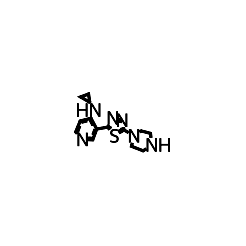 c1cc(NC2CC2)c(-c2nnc(N3CCNCC3)s2)cn1